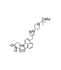 COC(C)(C)CN1CCC(n2cc(Cc3ccc4c5c(cccc35)C(=O)N4[C@H]3CCC(=O)NC3=O)cn2)CC1